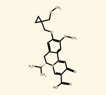 COCC1(COc2cc3c(cc2OC)-c2cc(=O)c(C(=O)O)cn2[C@H](C(C)C)C3)CC1